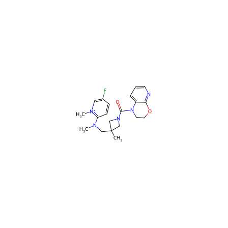 CN(CC1(C)CN(C(=O)N2CCOc3ncccc32)C1)c1ccc(F)c[n+]1C